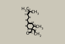 C=CC1(C=O)CCC(CCC=C(C)C)=CC1C